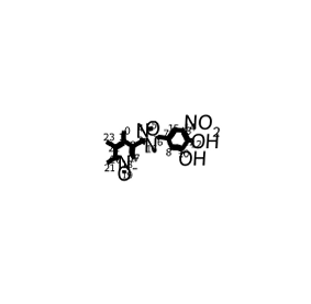 Cc1c(-c2noc(-c3cc(O)c(O)c([N+](=O)[O-])c3)n2)c[n+]([O-])c(C)c1C